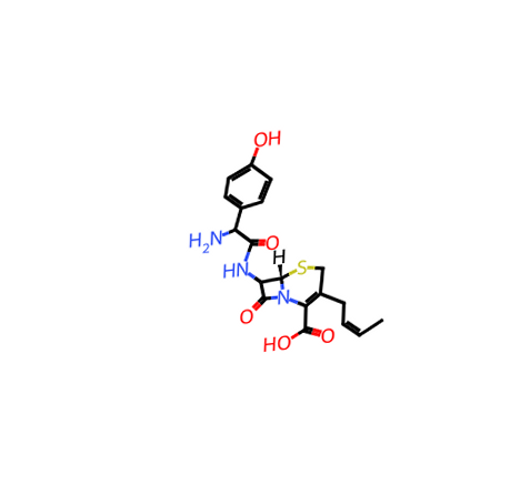 C/C=C\CC1=C(C(=O)O)N2C(=O)C(NC(=O)C(N)c3ccc(O)cc3)[C@@H]2SC1